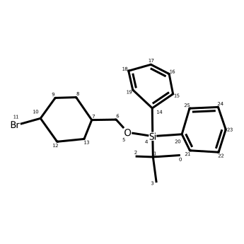 CC(C)(C)[Si](OCC1CCC(Br)CC1)(c1ccccc1)c1ccccc1